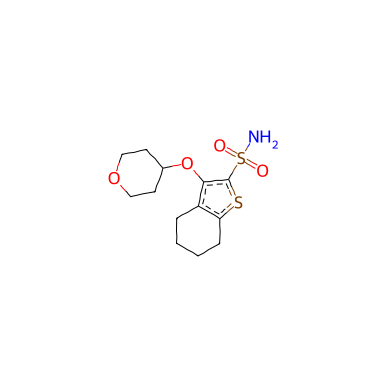 NS(=O)(=O)c1sc2c(c1OC1CCOCC1)CCCC2